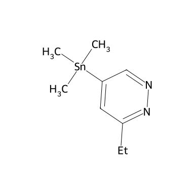 CCc1c[c]([Sn]([CH3])([CH3])[CH3])cnn1